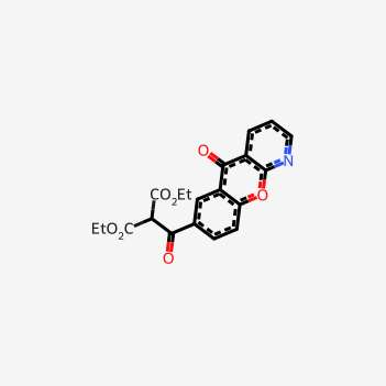 CCOC(=O)C(C(=O)OCC)C(=O)c1ccc2oc3ncccc3c(=O)c2c1